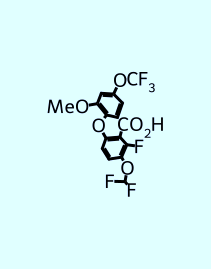 COc1cc(OC(F)(F)F)ccc1Oc1ccc(OC(F)F)c(F)c1C(=O)O